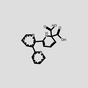 O=C(O)C1(C(=O)O)C=CC=C(c2ncccc2-c2ccccn2)N1